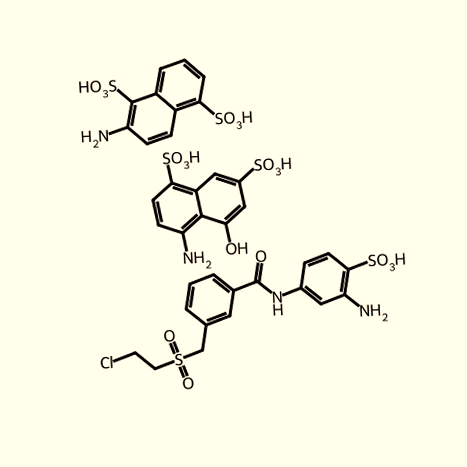 Nc1cc(NC(=O)c2cccc(CS(=O)(=O)CCCl)c2)ccc1S(=O)(=O)O.Nc1ccc(S(=O)(=O)O)c2cc(S(=O)(=O)O)cc(O)c12.Nc1ccc2c(S(=O)(=O)O)cccc2c1S(=O)(=O)O